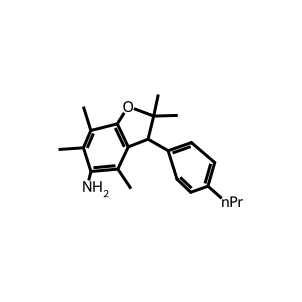 CCCc1ccc(C2c3c(C)c(N)c(C)c(C)c3OC2(C)C)cc1